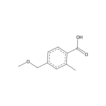 COCc1ccc(C(=O)O)c(C)c1